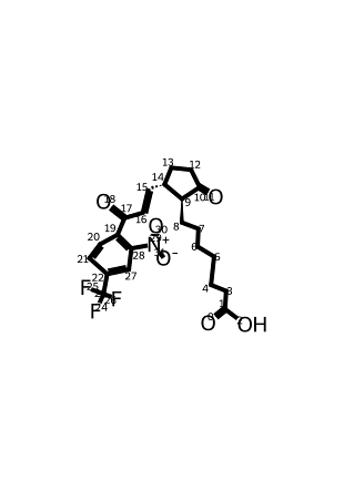 O=C(O)CCCCCC[C@@H]1C(=O)CC[C@H]1C=CC(=O)c1ccc(C(F)(F)F)cc1[N+](=O)[O-]